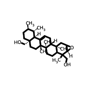 C[C@H]1[C@H](C)CC[C@]2(CO)CC[C@]3(C)C(=CC[C@@H]4[C@@]5(C)CC6O[C@H]6C(C)(CO)C5CC[C@]43C)[C@H]12